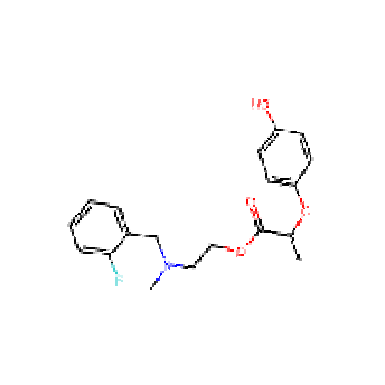 CC(Oc1ccc(O)cc1)C(=O)OCCN(C)Cc1ccccc1F